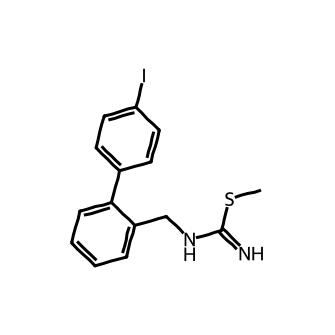 CSC(=N)NCc1ccccc1-c1ccc(I)cc1